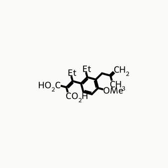 C=C(C)Cc1c(OC)ccc(C(CC)=C(C(=O)O)C(=O)O)c1CC